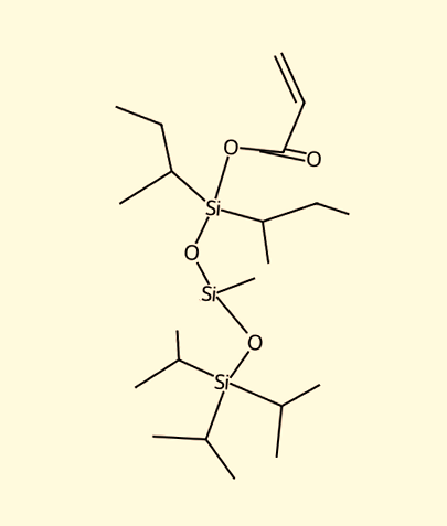 C=CC(=O)O[Si](O[Si](C)(C)O[Si](C(C)C)(C(C)C)C(C)C)(C(C)CC)C(C)CC